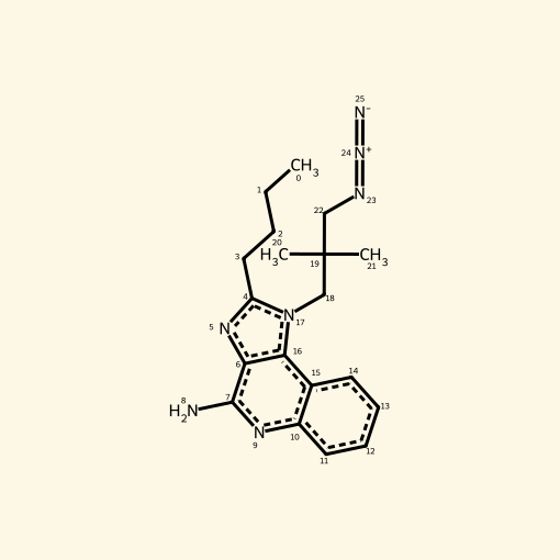 CCCCc1nc2c(N)nc3ccccc3c2n1CC(C)(C)CN=[N+]=[N-]